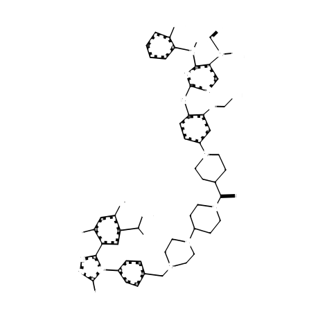 CCOc1cc(N2CCC(C(=O)N3CCC(N4CCN(Cc5ccc(-n6c(O)nnc6-c6cc(C(C)C)c(O)cc6O)cc5)CC4)CC3)CC2)ccc1Nc1ncc(N(C)C=O)c(N(C)c2ccccc2C)n1